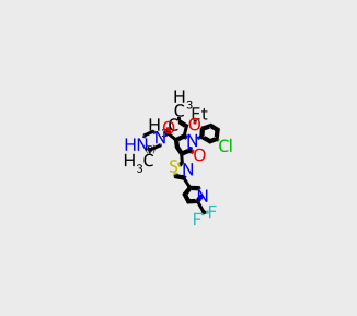 CCOc1ccc(Cl)cc1-n1c(C=C(C)C)c(C(=O)N2CCN[C@H](C)C2)cc(-c2nc(-c3ccc(C(F)F)nc3)cs2)c1=O